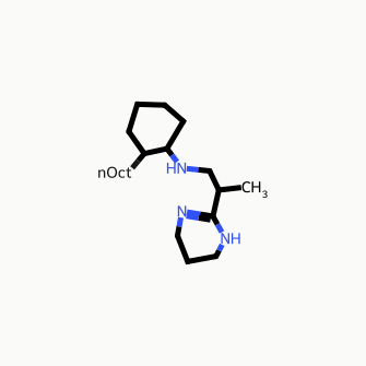 CCCCCCCCC1CCCCC1NCC(C)C1=NCCCN1